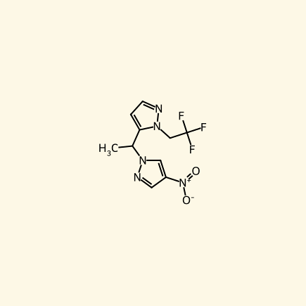 CC(c1ccnn1CC(F)(F)F)n1cc([N+](=O)[O-])cn1